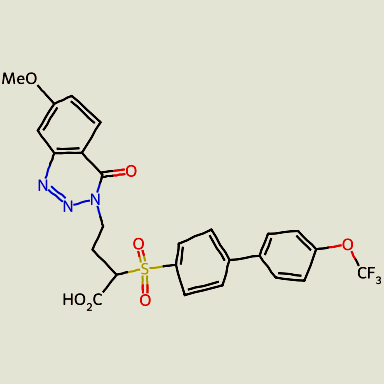 COc1ccc2c(=O)n(CCC(C(=O)O)S(=O)(=O)c3ccc(-c4ccc(OC(F)(F)F)cc4)cc3)nnc2c1